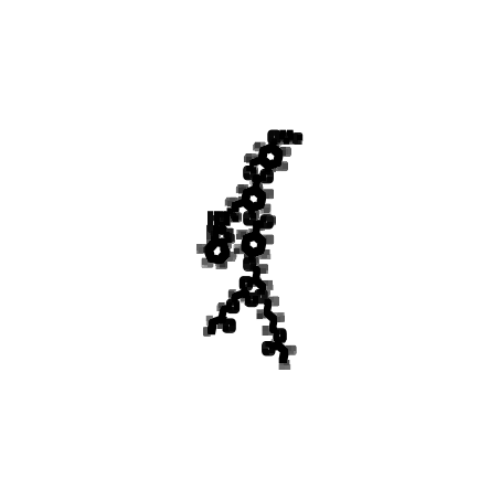 C=CC(=O)COCC(=O)OC(COCCCCOC(=O)C=C)COc1ccc(C(=O)Oc2ccc(C(=O)Oc3ccc(OC)cc3C)cc2/C=N/Nc2nc3ccccc3s2)cc1